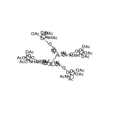 CC(=O)CC1[C@@H](NC(C)=O)[C@H](OCCOCCn2cc(CN(Cc3cn(CCOCCO[C@@H]4O[C@H](COC(C)=O)[C@H](OC(C)=O)[C@H](OC(C)=O)[C@H]4NC(C)=O)nn3)[C@@H](CCCCN(Cc3cn(CCOCCC[C@@H]4O[C@H](COC(C)=O)[C@H](OC(C)=O)[C@H](OC(C)=O)[C@H]4NC(C)=O)nn3)Cc3cn(CCOCCO[C@@H]4O[C@H](COC(C)=O)[C@H](OC(C)=O)[C@H](OC(C)=O)[C@H]4NC(C)=O)nn3)C(=O)O)nn2)O[C@H](COC(C)=O)[C@@H]1OC(C)=O